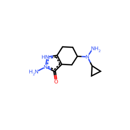 NN(C1CC1)C1CCc2[nH]n(N)c(=O)c2C1